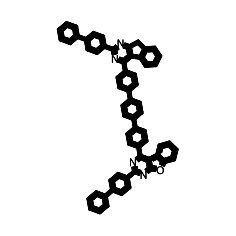 c1ccc(-c2ccc(-c3nc4c(c(-c5ccc(-c6ccc(-c7ccc(-c8nc(-c9ccc(-c%10ccccc%10)cc9)nc9oc%10ccccc%10c89)cc7)cc6)cc5)n3)-c3ccccc3C4)cc2)cc1